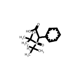 CC(C)(C)P(=O)(C(C(=O)O)c1ccccc1)C(C)(C)C